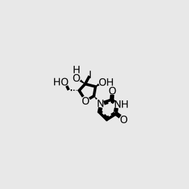 O=c1ccn([C@@H]2O[C@H](CO)[C@](O)(I)[C@H]2O)c(=O)[nH]1